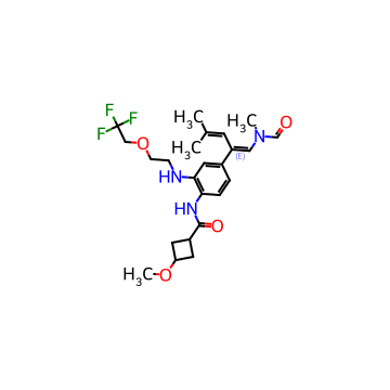 COC1CC(C(=O)Nc2ccc(/C(C=C(C)C)=C/N(C)C=O)cc2NCCOCC(F)(F)F)C1